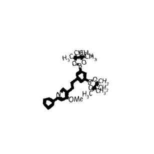 COc1cc(-c2ccccc2)ncc1CCc1cc(B2OC(C)(C)C(C)(C)O2)cc(B2OC(C)(C)C(C)(C)O2)c1